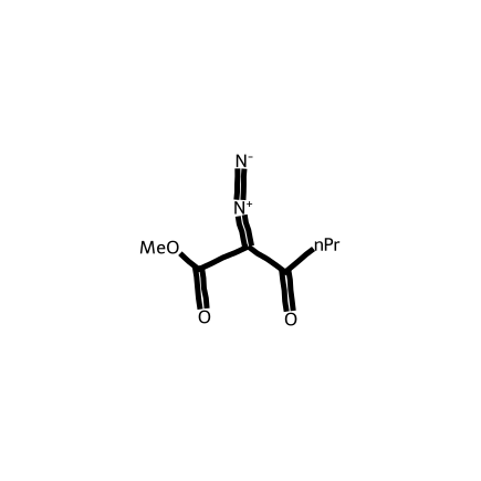 CCCC(=O)C(=[N+]=[N-])C(=O)OC